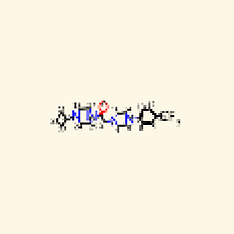 O=C(CN1CCN(c2ccc(C(F)(F)F)cc2)CC1)N1CCN(C2CCC2)CC1